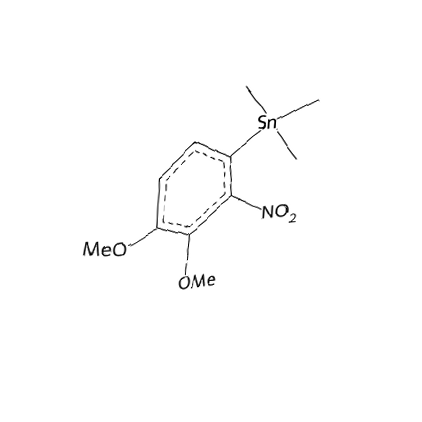 COc1cc[c]([Sn]([CH3])([CH3])[CH3])c([N+](=O)[O-])c1OC